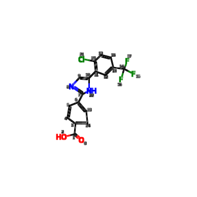 O=C(O)c1ccc(-c2ncc(-c3cc(C(F)(F)F)ccc3Cl)[nH]2)cc1